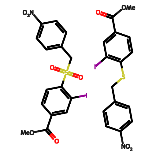 COC(=O)c1ccc(S(=O)(=O)Cc2ccc([N+](=O)[O-])cc2)c(I)c1.COC(=O)c1ccc(SCc2ccc([N+](=O)[O-])cc2)c(I)c1